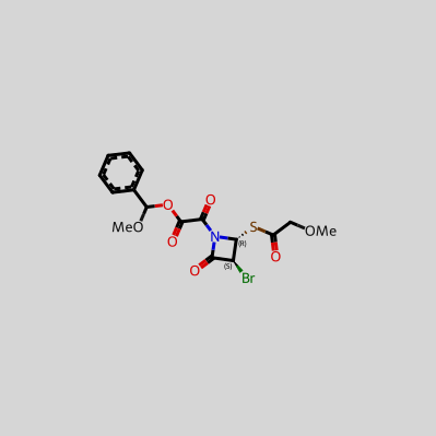 COCC(=O)S[C@@H]1[C@@H](Br)C(=O)N1C(=O)C(=O)OC(OC)c1ccccc1